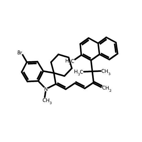 C=C(/C=C/C=C1/N(C)c2ccc(Br)cc2C12CCCCC2)C(C)(C)c1c(C)ccc2ccccc12